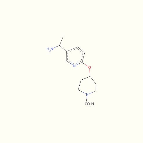 CC(N)c1ccc(OC2CCN(C(=O)O)CC2)nc1